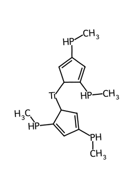 CPC1=C[CH]([Ti][CH]2C=C(PC)C=C2PC)C(PC)=C1